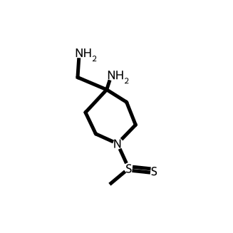 CS(=S)N1CCC(N)(CN)CC1